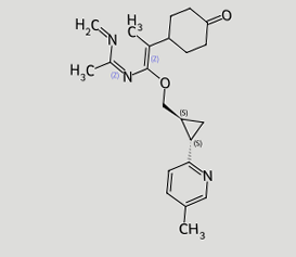 C=N/C(C)=N\C(OC[C@H]1C[C@@H]1c1ccc(C)cn1)=C(/C)C1CCC(=O)CC1